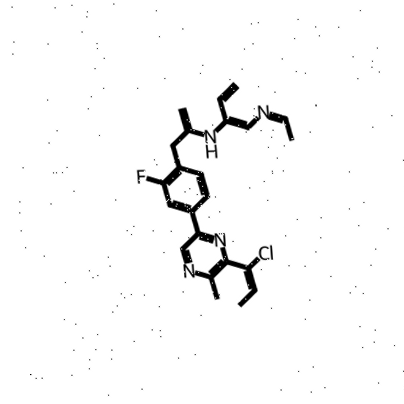 C=C/C(=C\N=C/C)NC(=C)Cc1ccc(-c2cnc(C)c(/C(Cl)=C\C)n2)cc1F